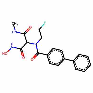 CNC(=O)C(C(=O)NO)N(CCF)C(=O)c1ccc(-c2ccccc2)cc1